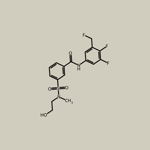 CN(CCO)S(=O)(=O)c1cccc(C(=O)Nc2cc(F)c(F)c(CF)c2)c1